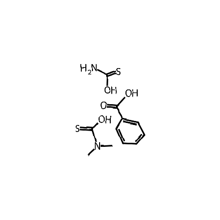 CN(C)C(O)=S.NC(O)=S.O=C(O)c1ccccc1